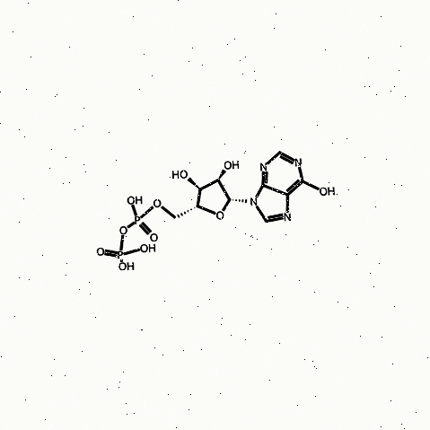 O=P(O)(O)OP(=O)(O)OC[C@H]1O[C@@H](n2cnc3c(O)ncnc32)[C@H](O)[C@@H]1O